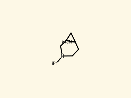 CNC12CCN(C(C)C)CC1C2